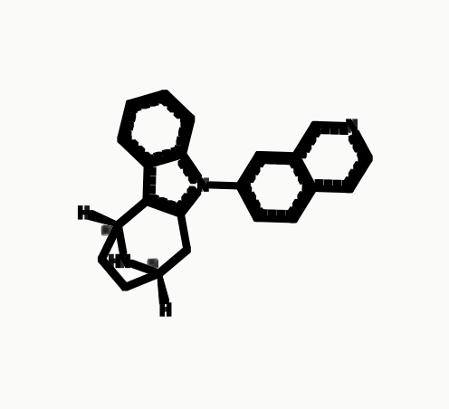 c1ccc2c(c1)c1c(n2-c2ccc3ccncc3c2)C[C@@H]2CC[C@H]1N2